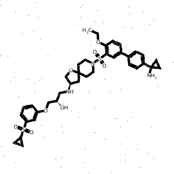 CCOc1ccc(-c2ccc(C3(N)CC3)cc2)cc1S(=O)(=O)N1CCC2(CC1)C[C@@H](NC[C@H](O)COc1cccc(S(=O)(=O)C3CC3)c1)CO2